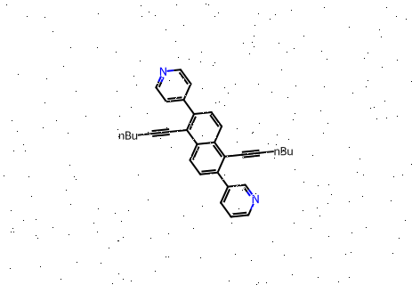 CCCCC#Cc1c(-c2ccncc2)ccc2c(C#CCCCC)c(-c3cccnc3)ccc12